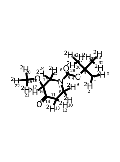 [2H]C([2H])C(OC(=O)N1C([2H])([2H])C([2H])([2H])C(=O)C([2H])(OC([2H])([2H])[2H])C1([2H])[2H])(C([2H])([2H])[2H])C([2H])([2H])[2H]